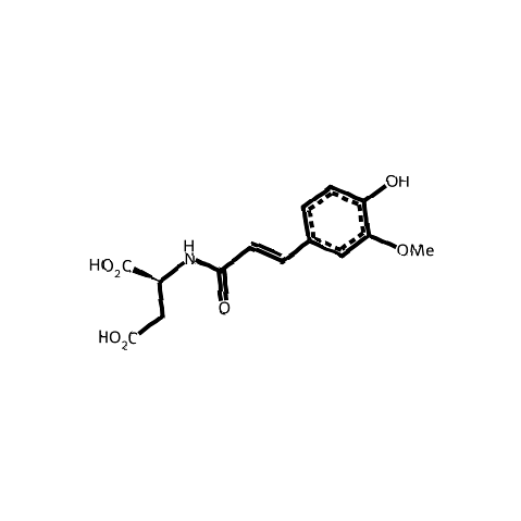 COc1cc(C=CC(=O)N[C@@H](CC(=O)O)C(=O)O)ccc1O